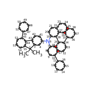 CC1(C)c2cc(N(c3ccc(-c4ccccc4)cc3)c3ccc4ccccc4c3-c3ccccc3-c3ccccc3)ccc2-c2c(-c3ccccc3)cccc21